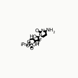 CC(C)OP1(=O)OC[C@H]2O[C@@H](n3ccc(N)nc3=O)C(F)(F)[C@@H]2O1